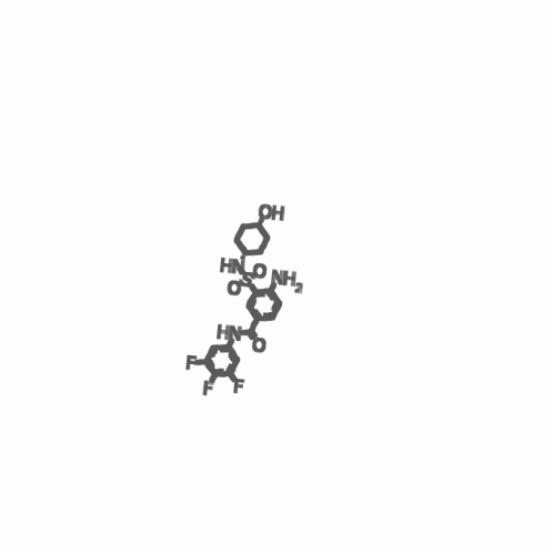 Nc1ccc(C(=O)Nc2cc(F)c(F)c(F)c2)cc1S(=O)(=O)N[C@H]1CC[C@H](O)CC1